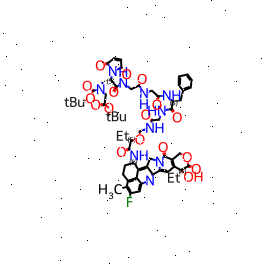 CC[C@H](OCNC(=O)CNC(=O)[C@H](Cc1ccccc1)NC(=O)CNC(=O)CNC(=O)[C@H](CN(CC(=O)OC(C)(C)C)C(=O)OC(C)(C)C)N1C(=O)C=CC1=O)C(=O)N[C@H]1CCc2c(C)c(F)cc3nc4c(c1c23)Cn1c-4cc2c(c1=O)COC(=O)[C@]2(O)CC